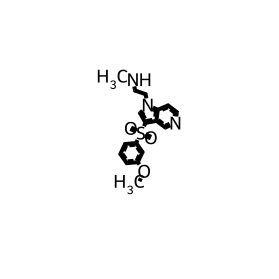 CNCCn1cc(S(=O)(=O)c2cccc(OC)c2)c2cnccc21